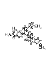 COc1ccc(CN(C2(C#N)CC2)S(=O)(=O)c2cc(N3CCN(C(=O)C(C)C)CC3)c3ncc(-c4nnc(C)s4)n3c2)cc1